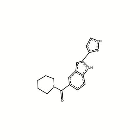 O=C(c1ccc2[nH]c(-c3cc[nH]n3)cc2c1)N1CCCCC1